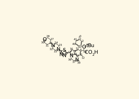 Cc1ccc(-c2c([C@H](OC(C)(C)C)C(=O)O)c(C)c3c4c2cc(-c2nnc(N5CCN(C6CCOCC6)CC5)s2)n4CCN3C)cc1